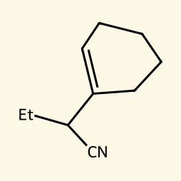 CCC(C#N)C1=CCCCC1